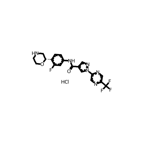 Cl.O=C(Nc1ccc([C@H]2CNCCO2)c(F)c1)c1cnn(-c2cnc(C(F)(F)F)cn2)c1